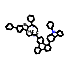 CCC1/C(c2ccccc2)=C\CC/C(c2ccc3c(c2)c2ccccc2c2cccc(-c4ccc5c(c4)c4ccccc4n5-c4ccccc4)c23)=C(\C)CCC1c1ccc(-c2ccccc2)cc1